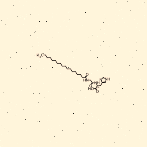 CCCCCCCCCCCCCCCCCC(=O)NCC(=O)N[C@@H](Cc1c[nH]cn1)C(=O)O